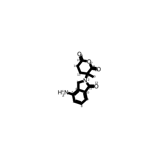 CC1(N2Cc3c(N)cccc3C2=O)CCC(=O)OC1=O